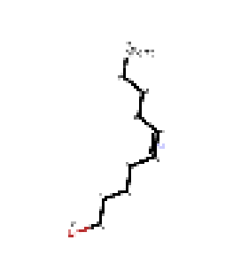 CCCCCCCC/C=C\CCCCBr